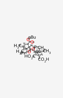 CC1C(C)C2CC1C(C(=O)O)C2C(=O)O.CCCCOC(=O)C1C2CC(CC(C)C)(C(C)C2C)C1(CC(C)C)C(=O)OCCCC